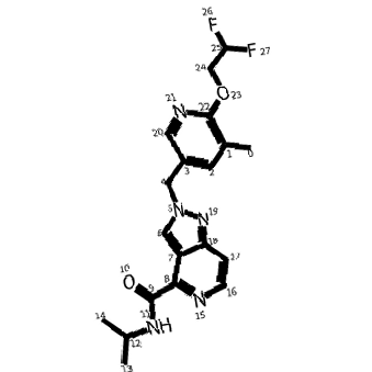 Cc1cc(Cn2cc3c(C(=O)NC(C)C)nccc3n2)cnc1OCC(F)F